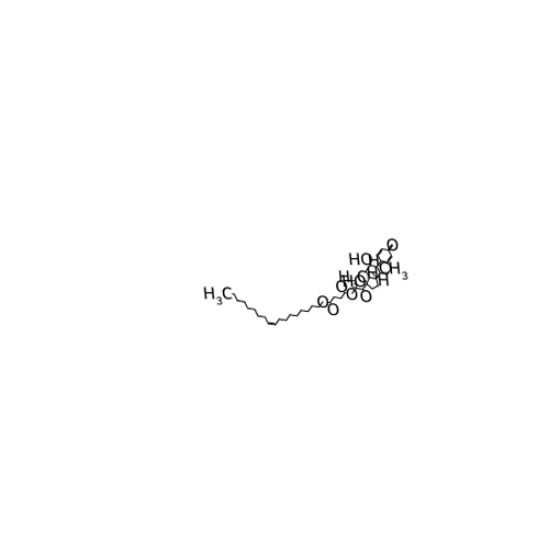 CCCCCCCC/C=C\CCCCCCCCOC(=O)CCC(=O)OCC(=O)[C@@]1(O)CC[C@H]2[C@@H]3CCC4=CC(=O)C=C[C@]4(C)[C@H]3[C@@H](O)C[C@@]21C